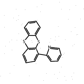 c1ccc(-c2cccc3c2Sc2ccccc2S3)nc1